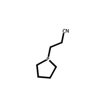 N#CCCP1CCCC1